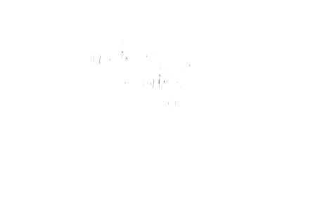 NS(=O)(=O)c1ccccc1.O=S(=O)(O)NO.c1ccccc1